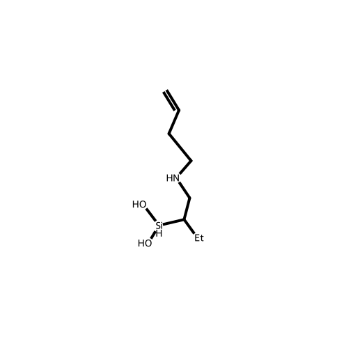 C=CCCNCC(CC)[SiH](O)O